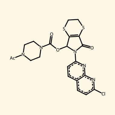 CC(=O)N1CCN(C(=O)OC2C3=C(SCCS3)C(=O)N2c2ccc3ccc(Cl)nc3n2)CC1